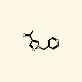 CC(=O)c1cnn(Cc2ccncc2)c1